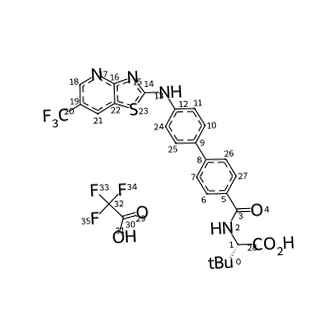 CC(C)(C)[C@H](NC(=O)c1ccc(-c2ccc(Nc3nc4ncc(C(F)(F)F)cc4s3)cc2)cc1)C(=O)O.O=C(O)C(F)(F)F